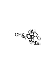 CC(C)(C=O)c1cc2c(c(O[Si](C)(C)C(C)(C)C)c1)[C@@H]1CC(=O)CC[C@H]1C(C)(C)O2